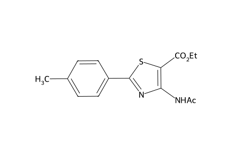 CCOC(=O)c1sc(-c2ccc(C)cc2)nc1NC(C)=O